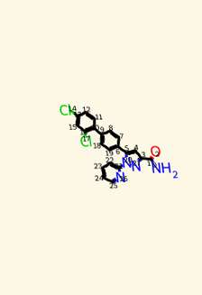 NC(=O)c1cc(-c2ccc(-c3ccc(Cl)cc3Cl)cc2)n(-c2ccccn2)n1